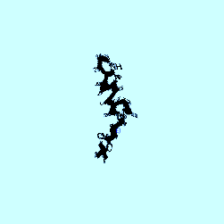 CC(C)(C)OC(=O)/C=C/CN1CCC(CCc2ccc3c(n2)NCCC3)C1